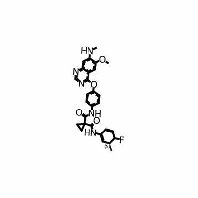 CNc1cc2ncnc(Oc3ccc(NC(=O)C4(C(=O)NC5=C[C@H](C)C(F)C=C5)CC4)cc3)c2cc1OC